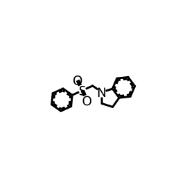 O=S(=O)(CN1CCc2ccccc21)c1ccccc1